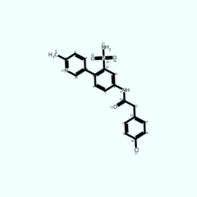 Cc1ccc(-c2ccc(NC(=O)Cc3ccc(Cl)cc3)cc2S(N)(=O)=O)cn1